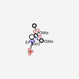 CCn1c(CCCOS(C)(=O)=O)nc2c1CCCc1c(OCc3ccccc3)c(C(=O)OC)c(=O)n(Cc3ccc(OC)cc3OC)c1-2